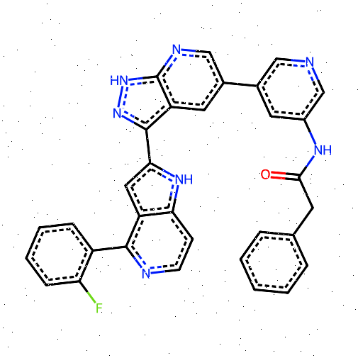 O=C(Cc1ccccc1)Nc1cncc(-c2cnc3[nH]nc(-c4cc5c(-c6ccccc6F)nccc5[nH]4)c3c2)c1